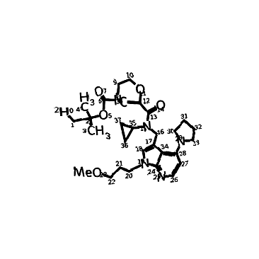 [2H]CC(C)(C)OC(=O)N1CCOC(C(=O)N(Cc2cn(CCCOC)c3nccc(N4CCCC4)c23)C2CC2)C1